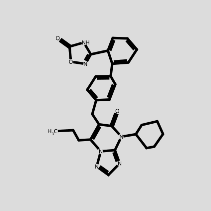 CCCc1c(Cc2ccc(-c3ccccc3-c3noc(=O)[nH]3)cc2)c(=O)n(C2CCCCC2)c2ncnn12